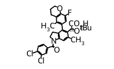 Cc1cc2c(c(-c3cc(F)c4c(c3C)CCCO4)c1[C@H](OC(C)(C)C)C(=O)O)CCN2C(=O)c1ccc(Cl)c(Cl)c1